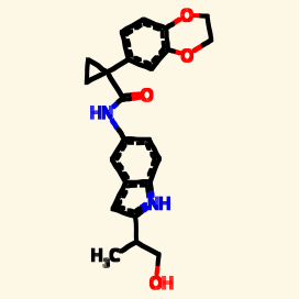 CC(CO)c1cc2cc(NC(=O)C3(c4ccc5c(c4)OCCO5)CC3)ccc2[nH]1